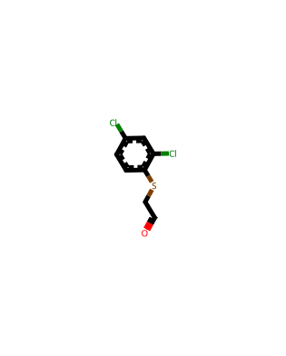 O=[C]CSc1ccc(Cl)cc1Cl